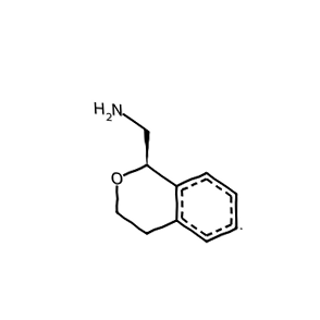 NC[C@@H]1OCCc2c[c]ccc21